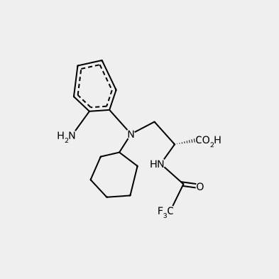 Nc1ccccc1N(C[C@@H](NC(=O)C(F)(F)F)C(=O)O)C1CCCCC1